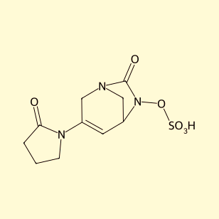 O=C1CCCN1C1=CC2CN(C1)C(=O)N2OS(=O)(=O)O